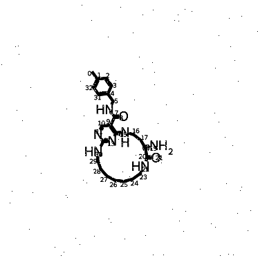 Cc1ccc(CNC(=O)c2cnc3nc2NCC[C@H](N)C(=O)NCCCCCCCN3)cc1